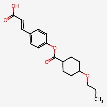 CCCOC1CCC(C(=O)Oc2ccc(/C=C/C(=O)O)cc2)CC1